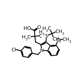 COc1cccc2c1c(SC(C)(C)C)c(CC(C)(C)C(=O)O)n2Cc1ccc(Cl)cc1